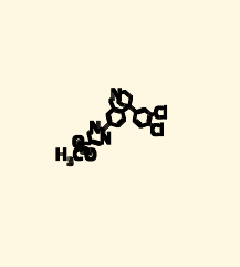 CS(=O)(=O)c1cnc(-c2ccc3c(c2)CN2CCC3(c3ccc(Cl)c(Cl)c3)CC2)nc1